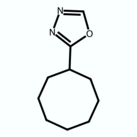 c1nnc(C2CCCCCCC2)o1